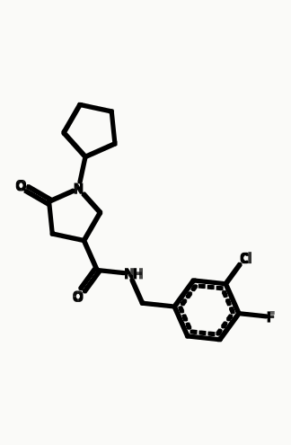 O=C(NCc1ccc(F)c(Cl)c1)C1CC(=O)N(C2CCCC2)C1